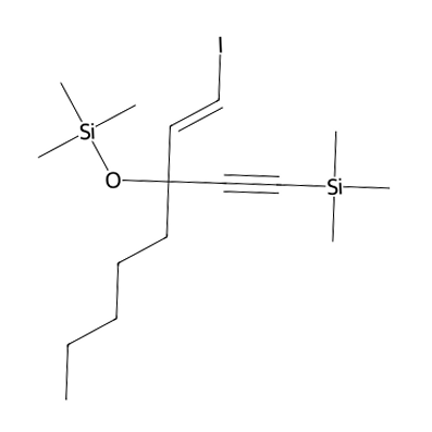 CCCCCC(C#C[Si](C)(C)C)(C=CI)O[Si](C)(C)C